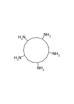 NC1CCC(N)CCC(N)CCC(N)CCC(N)CC1